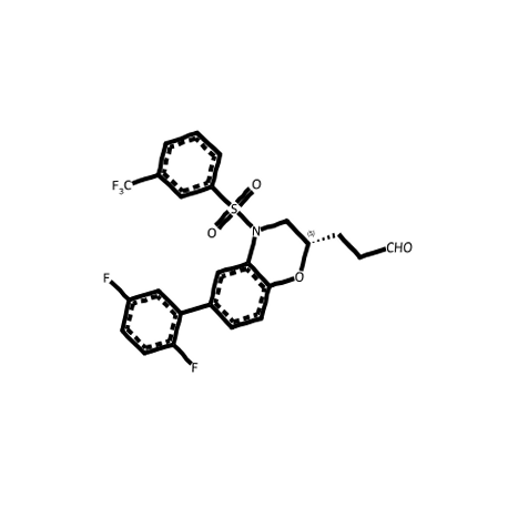 O=CCC[C@H]1CN(S(=O)(=O)c2cccc(C(F)(F)F)c2)c2cc(-c3cc(F)ccc3F)ccc2O1